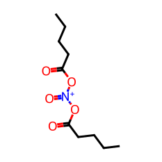 CCCCC(=O)O[N+](=O)OC(=O)CCCC